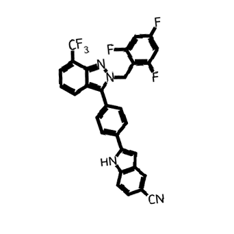 N#Cc1ccc2[nH]c(-c3ccc(-c4c5cccc(C(F)(F)F)c5nn4Cc4c(F)cc(F)cc4F)cc3)cc2c1